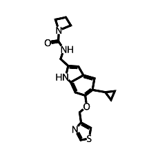 O=C(NCc1cc2cc(C3CC3)c(OCc3cscn3)cc2[nH]1)N1CCC1